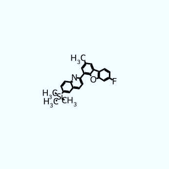 Cc1cc(-c2ccc3cc([Si](C)(C)C)ccc3n2)c2oc3cc(F)ccc3c2c1